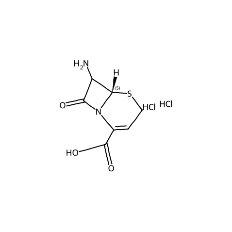 Cl.Cl.NC1C(=O)N2C(C(=O)O)=CCS[C@@H]12